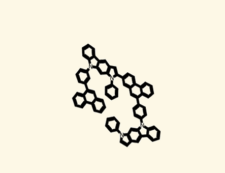 c1ccc(-n2ccc3cc4c5ccccc5n(-c5ccc(-c6cc7cc(-c8cc9cc%10c%11ccccc%11n(-c%11cccc(-c%12cc%13ccccc%13c%13ccccc%12%13)c%11)c%10cc9n8-c8ccccc8)ccc7c7ccccc67)cc5)c4cc32)cc1